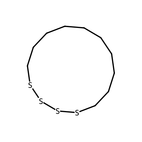 C1CCCCCSSSSCCCC1